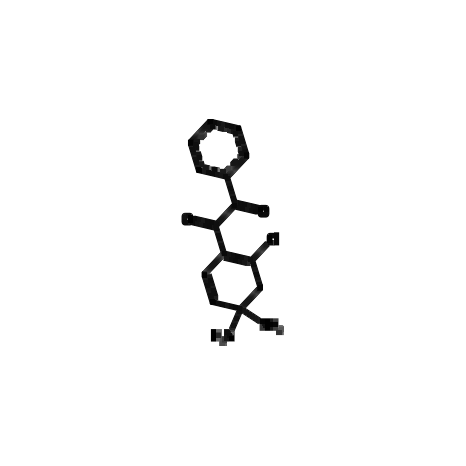 NC1(N)C=CC(C(=O)C(=O)c2ccccc2)=C(Cl)C1